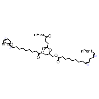 CCCCC/C=C\C/C=C\CCCCCCCC(=O)OCC(COC(=O)CCCCCCC/C=C\C/C=C\CCCCC)OC(=O)CCC(=O)CCCCCC